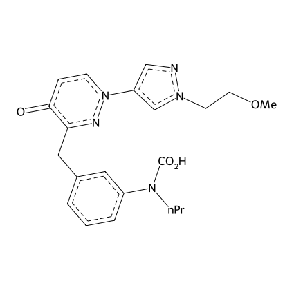 CCCN(C(=O)O)c1cccc(Cc2nn(-c3cnn(CCOC)c3)ccc2=O)c1